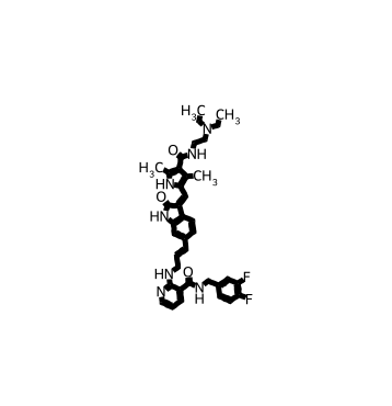 CCN(CC)CCNC(=O)c1c(C)[nH]c(C=C2C(=O)Nc3cc(C=CCNc4ncccc4C(=O)NCc4ccc(F)c(F)c4)ccc32)c1C